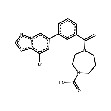 O=C(O)N1CCCN(C(=O)c2cccc(-c3cc(Br)c4ncnn4c3)c2)CC1